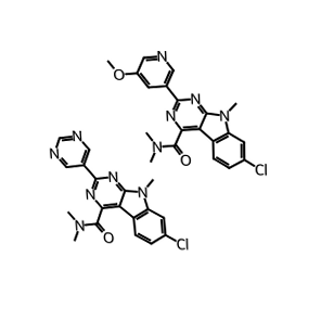 CN(C)C(=O)c1nc(-c2cncnc2)nc2c1c1ccc(Cl)cc1n2C.COc1cncc(-c2nc(C(=O)N(C)C)c3c4ccc(Cl)cc4n(C)c3n2)c1